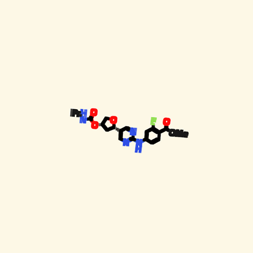 COC(=O)c1ccc(Nc2ncc([C@@H]3C[C@H](OC(=O)NC(C)C)CO3)cn2)cc1F